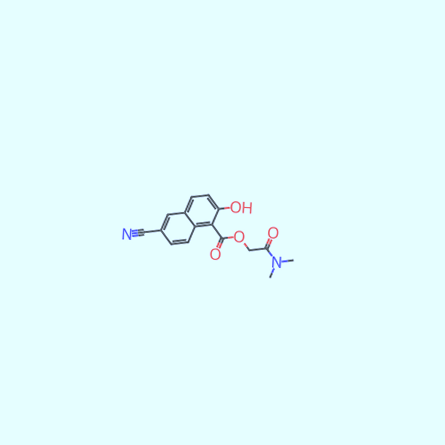 CN(C)C(=O)COC(=O)c1c(O)ccc2cc(C#N)ccc12